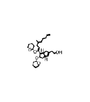 C=CCCCC(C)CC=C(OC1CCCCO1)[C@H]1[C@@H]2CC(CCO)=C[C@@H]2C[C@@H]1OC1CCCCO1